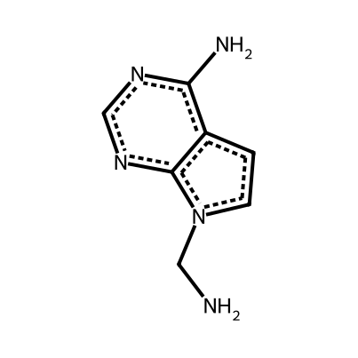 NCn1ccc2c(N)ncnc21